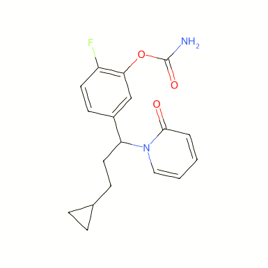 NC(=O)Oc1cc(C(CCC2CC2)n2ccccc2=O)ccc1F